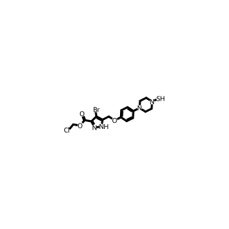 O=C(OCCl)c1n[nH]c(COc2ccc(N3CCN(S)CC3)cc2)c1Br